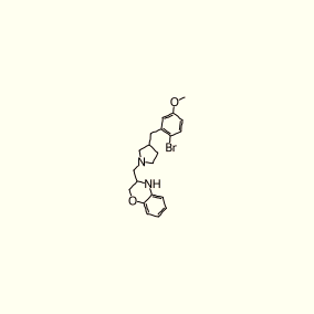 COc1ccc(Br)c(CC2CCN(CC3COc4ccccc4N3)C2)c1